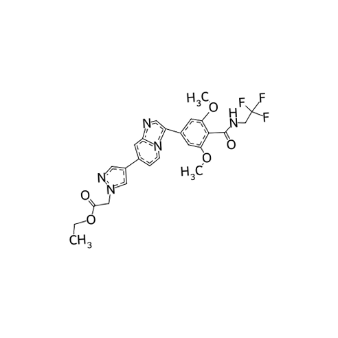 CCOC(=O)Cn1cc(-c2ccn3c(-c4cc(OC)c(C(=O)NCC(F)(F)F)c(OC)c4)cnc3c2)cn1